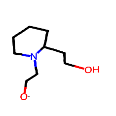 [O]CCN1CCCCC1CCO